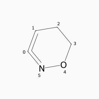 C1=CCCON=1